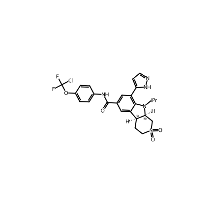 CC(C)N1c2c(-c3ccn[nH]3)cc(C(=O)Nc3ccc(OC(F)(F)Cl)cc3)cc2[C@@H]2CCS(=O)(=O)C[C@@H]21